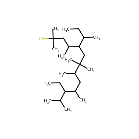 CCC(C)C(CC(C)(C)C(C)CC(C)C(CC)C(C)C)C(C)CC(C)(C)S